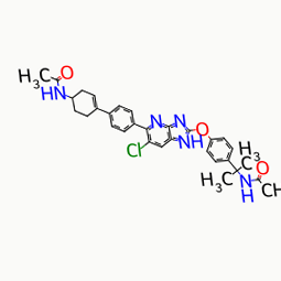 CC(=O)NC1CC=C(c2ccc(-c3nc4nc(Oc5ccc(C(C)(C)NC(C)=O)cc5)[nH]c4cc3Cl)cc2)CC1